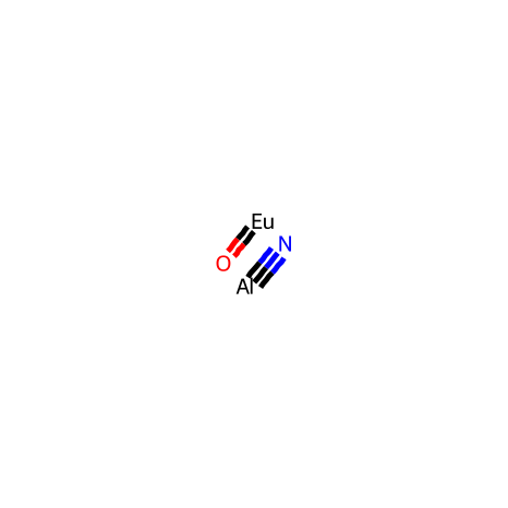 [N]#[Al].[O]=[Eu]